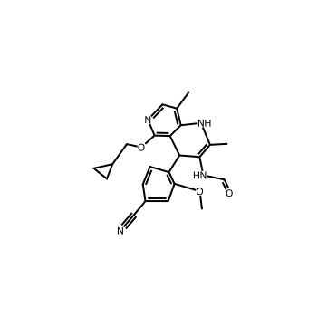 COc1cc(C#N)ccc1C1C(NC=O)=C(C)Nc2c(C)cnc(OCC3CC3)c21